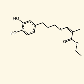 CCOC(=O)C(C)=CSCCCc1ccc(O)c(O)c1